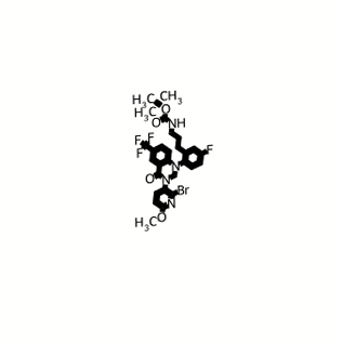 COc1ccc(N2CN(c3ccc(F)cc3CCCNC(=O)OC(C)(C)C)c3ccc(C(F)(F)F)cc3C2=O)c(Br)n1